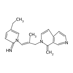 C=C1c2cnccc2C=CN1C/C(C)=C/n1cc(CC)ccc1=N